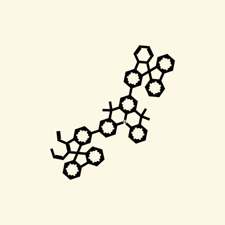 C=CC1=C(/C=C\C)C2(c3cc(-c4ccc5c(c4)C(C)(C)c4cc(-c6ccc7c(c6)C6(c8ccccc8-c8ccccc86)C6C=CC=CC76)cc6c4N5c4ccccc4C6(C)C)ccc31)c1ccccc1-c1ccccc12